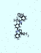 CN/C(=N\c1cccc(/N=C/c2ccccc2C(N)=O)c1)c1ccccc1CO